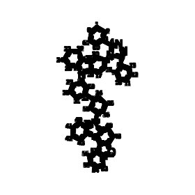 c1ccc(-c2nnc(-c3ccccc3)n2-c2ccc3c(c2)c2ccccc2n3-c2cccc(-c3cccc(-n4c5ccccc5c5c6c(ccc54)oc4ccccc46)c3)c2)cc1